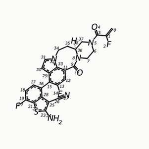 C=C(F)C(=O)N1CCN2C(=O)c3cc(F)c(-c4ccc(F)c5sc(N)c(C#N)c45)c4ccn(c34)CC[C@H]2C1